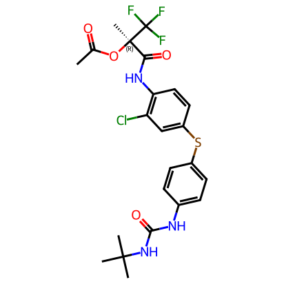 CC(=O)O[C@](C)(C(=O)Nc1ccc(Sc2ccc(NC(=O)NC(C)(C)C)cc2)cc1Cl)C(F)(F)F